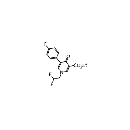 CCOC(=O)c1cn(CC(F)F)cc(-c2ccc(F)cc2)c1=O